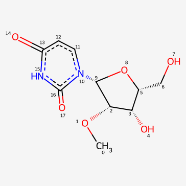 CO[C@H]1[C@@H](O)[C@@H](CO)O[C@H]1n1ccc(=O)[nH]c1=O